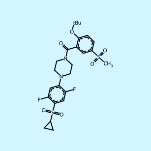 CC(C)(C)Oc1ccc(S(C)(=O)=O)cc1C(=O)N1CCN(c2cc(F)c(S(=O)(=O)C3CC3)cc2F)CC1